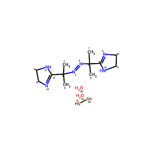 CC(C)(N=NC(C)(C)C1=NCCN1)C1=NCCN1.O.O.SS